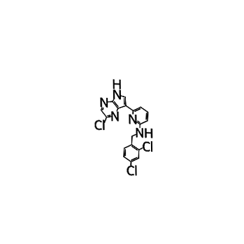 Clc1ccc(CNc2cccc(-c3c[nH]c4ncc(Cl)nc34)n2)c(Cl)c1